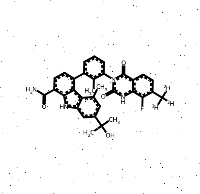 [2H]C([2H])([2H])c1ccc2c(=O)n(-c3cccc(-c4ccc(C(N)=O)c5[nH]c6cc(C(C)(C)O)cc(C)c6c45)c3C)c(=O)[nH]c2c1F